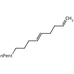 [CH2]CCCCCCCC=CCCC=C